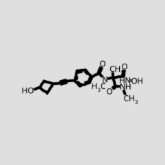 CNC(=O)C(C)(C(=O)NO)N(C)C(=O)c1ccc(C#CC2CC(O)C2)cc1